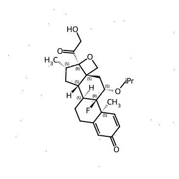 CC(C)O[C@H]1C[C@]23CO[C@]2(C(=O)CO)[C@@H](C)C[C@H]3[C@@H]2CCC3=CC(=O)C=C[C@]3(C)[C@@]12F